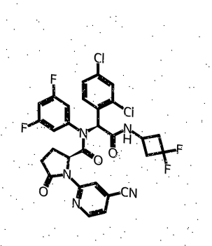 N#Cc1ccnc(N2C(=O)CC[C@H]2C(=O)N(c2cc(F)cc(F)c2)[C@H](C(=O)NC2CC(F)(F)C2)c2ccc(Cl)cc2Cl)c1